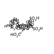 CCCCC[N+]1=C(/C=C/C=C2/N(CCCCCC(=O)O)c3c(cc(-c4cc(C(=O)NCCS(=O)(=O)O)nc(C(=O)NCCS(=O)(=O)O)c4)c4sccc34)C2(C)C)C(C)(C)c2cc(-c3cc(C(=O)NCC)nc(C(=O)NCCC)c3)c3sccc3c21